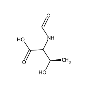 C[C@@H](O)C(NC=O)C(=O)O